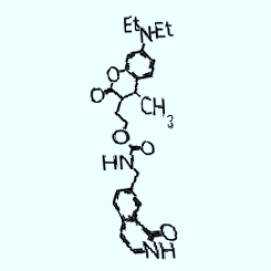 CCN(CC)c1ccc2c(c1)OC(=O)C(CCOC(=O)NCc1ccc3cc[nH]c(=O)c3c1)C2C